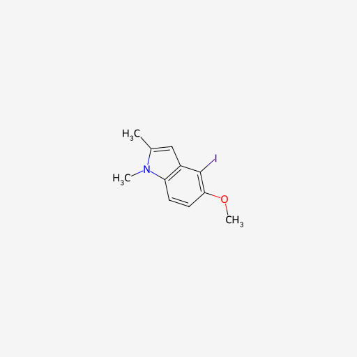 COc1ccc2c(cc(C)n2C)c1I